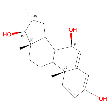 C[C@@H]1CC2C3C(CC[C@]2(C)[C@H]1O)[C@@]1(C)C=CC(O)=CC1=C[C@@H]3O